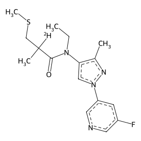 [2H]C(C)(CSC)C(=O)N(CC)c1cn(-c2cncc(F)c2)nc1C